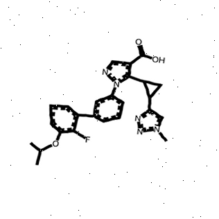 CC(C)Oc1cccc(-c2cccc(-n3ncc(C(=O)O)c3C3CC3c3cn(C)nn3)c2)c1F